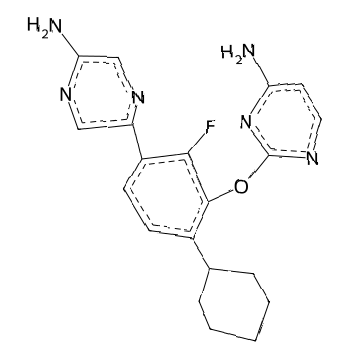 Nc1cnc(-c2ccc(C3CCCCC3)c(Oc3nccc(N)n3)c2F)cn1